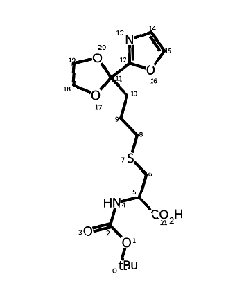 CC(C)(C)OC(=O)NC(CSCCCC1(c2ncco2)OCCO1)C(=O)O